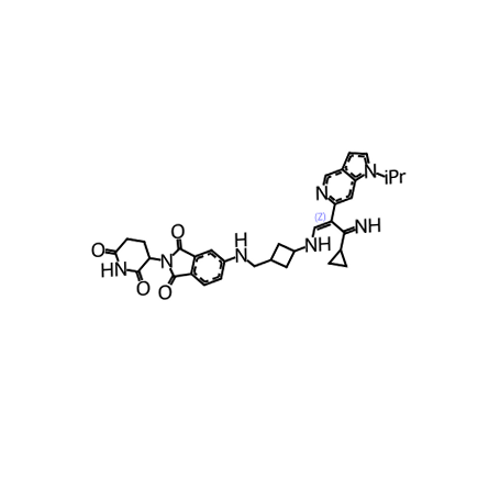 CC(C)n1ccc2cnc(/C(=C/NC3CC(CNc4ccc5c(c4)C(=O)N(C4CCC(=O)NC4=O)C5=O)C3)C(=N)C3CC3)cc21